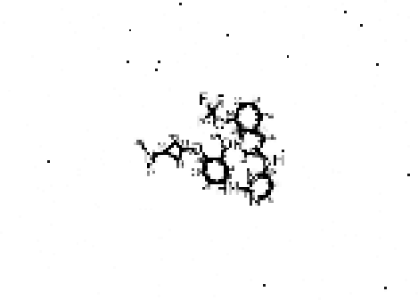 COc1cc(Nc2nccc(Nc3cnc4c(OC(F)(F)F)cccc4c3)n2)ccc1OC1CC(N(C)C)C1